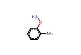 CSc1ccccc1ON